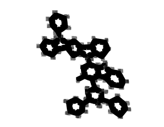 Cc1cc(-n2c3ccccc3c3cc4c(cc32)c2ccccc2n4-c2ccccc2)c2oc3ccccc3c2c1-c1nc(-c2ccccc2)nc(-c2ccccc2)n1